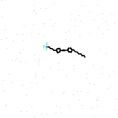 CCCCCCCCc1ccc(C#Cc2ccc(CCCCC(F)(F)F)cc2)cc1